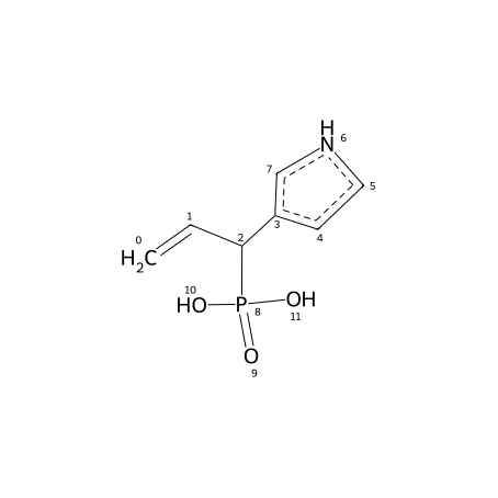 C=CC(c1cc[nH]c1)P(=O)(O)O